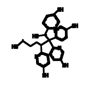 S[CH]CCC(c1ccc(S)cn1)C([C](S)c1ccc(S)cn1)(c1ccc(S)cn1)c1ccc(S)cn1